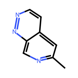 Cc1cc2ccnnc2cn1